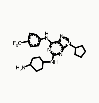 NC1CCC(Nc2nc(Nc3ccc(C(F)(F)F)cc3)c3ncn(C4CCCC4)c3n2)CC1